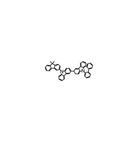 CC1(C)c2ccccc2-c2cc(-n3c4ccccc4c4cc(C5C=c6c(n(-c7ccccc7-c7ccccc7)c7ccccc67)=CC5)ccc43)ccc21